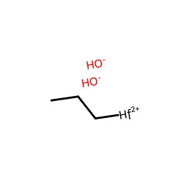 CC[CH2][Hf+2].[OH-].[OH-]